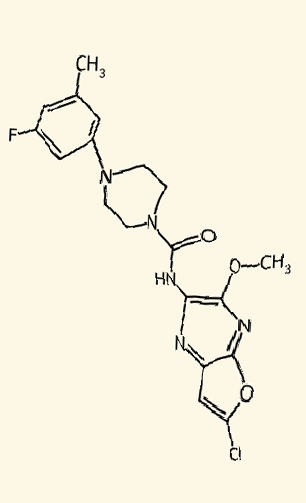 COc1nc2oc(Cl)cc2nc1NC(=O)N1CCN(c2cc(C)cc(F)c2)CC1